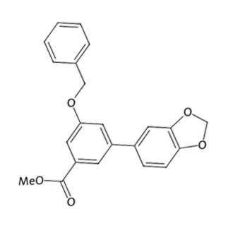 COC(=O)c1cc(OCc2ccccc2)cc(-c2ccc3c(c2)OCO3)c1